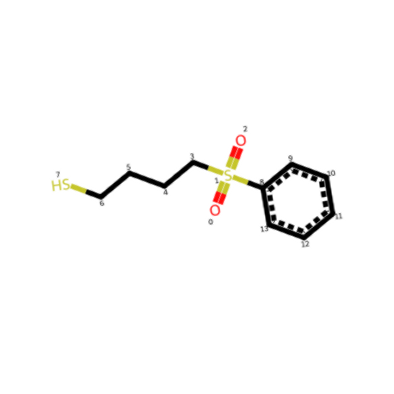 O=S(=O)(CCCCS)c1ccccc1